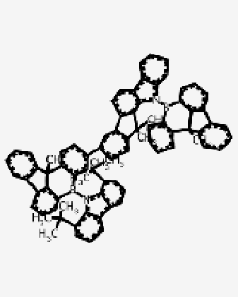 CC(C)(C)c1cccc2c3cccc(C(C)(C)C)c3n(B3c4cc(-c5ccc6c(c5)-c5ccc7c8ccccc8n(B8c9ccccc9C9(C)c%10ccccc%10-c%10cccc8c%109)c7c5C6(C)C)ccc4C4(C)c5ccccc5-c5cccc3c54)c12